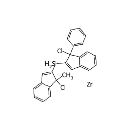 CC1(Cl)C([SiH2]C2=Cc3ccccc3C2(Cl)c2ccccc2)=Cc2ccccc21.[Zr]